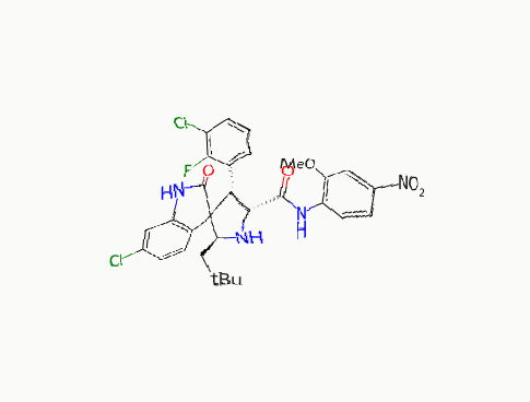 COc1cc([N+](=O)[O-])ccc1NC(=O)[C@@H]1N[C@@H](CC(C)(C)C)C2(C(=O)Nc3cc(Cl)ccc32)[C@@H]1c1cccc(Cl)c1F